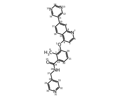 Cc1c(Oc2ccnc3cc(-c4cncnc4)ccc23)cccc1C(=O)NCc1ccncc1